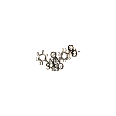 O=C1[C@@H]2CSC(c3ccccc3)N2C(=O)N1c1ccc([N+](=O)[O-])cc1